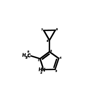 Cc1[nH]ccc1C1CC1